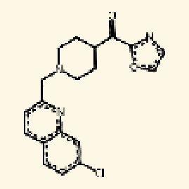 O=C(c1ncco1)C1CCN(Cc2ccc3ccc(Cl)cc3n2)CC1